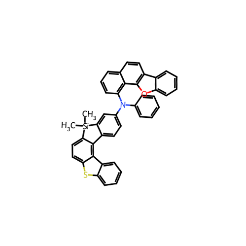 C[Si]1(C)c2cc(N(c3ccccc3)c3cccc4ccc5c6ccccc6oc5c34)ccc2-c2c1ccc1sc3ccccc3c21